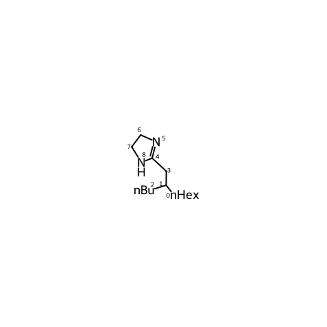 CCCCCCC(CCCC)CC1=NCCN1